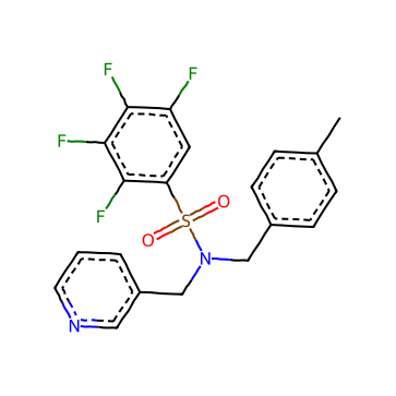 Cc1ccc(CN(Cc2cccnc2)S(=O)(=O)c2cc(F)c(F)c(F)c2F)cc1